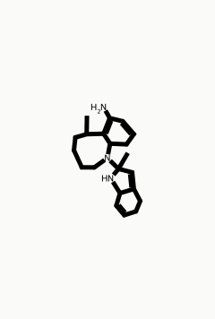 CC1CCCCN(C2(C)C=C3CCC=CC3N2)C2CC=CC(N)=C12